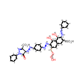 O=C(O)C1=NN(c2ccccc2)C(=O)C1/N=N/c1ccc(/N=N/c2c(SOOO)cc3cc(S(=O)(=O)O)c(/N=N/c4ccccc4)c(O)c3c2O)cc1